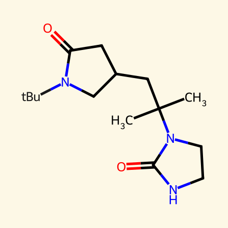 CC(C)(C)N1CC(CC(C)(C)N2CCNC2=O)CC1=O